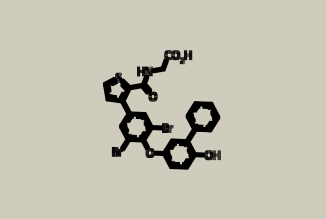 O=C(O)CNC(=O)c1sccc1-c1cc(Br)c(Oc2ccc(O)c(-c3ccccc3)c2)c(Br)c1